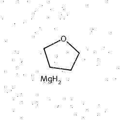 C1CCOC1.[MgH2]